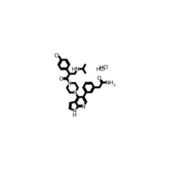 CC(C)NCC(C(=O)N1CCN(c2c(-c3cccc(CC(N)=O)c3)cnc3[nH]ccc23)CC1)c1ccc(Cl)cc1.Cl.Cl